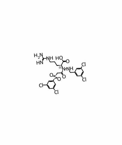 N=C(N)NCCC[C@@H](C(=O)O)N(NCc1cc(Cl)cc(Cl)c1)C(=O)CS(=O)(=O)c1cc(Cl)cc(Cl)c1